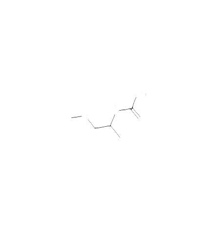 CCOCC(C)OC(=O)C(C)(C)C